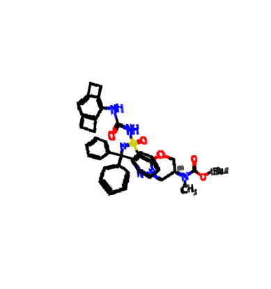 CN(C(=O)OC(C)(C)C)[C@@H]1COc2c(S(=O)(=NC(c3ccccc3)(c3ccccc3)c3ccccc3)NC(=O)Nc3c4c(cc5c3CC5)CC4)cnn2C1